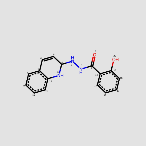 O=C(NNC1C=Cc2ccccc2N1)c1ccccc1O